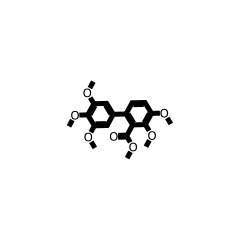 COC(=O)c1c(-c2cc(OC)c(OC)c(OC)c2)ccc(OC)c1OC